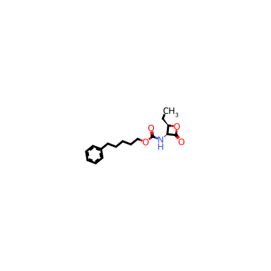 CC[C@H]1OC(=O)[C@@H]1NC(=O)OCCCCCc1ccccc1